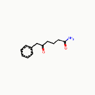 NC(=O)CCCC(=O)Cc1ccccc1